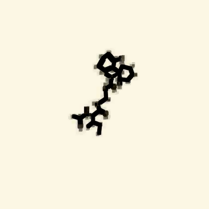 CCC(C)[C@H](NC(C)=O)C(=O)OCOC(=O)N(C)[C@@]1(c2ccccc2Cl)CCCCC1=O